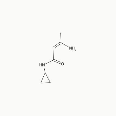 C/C(N)=C/C(=O)NC1CC1